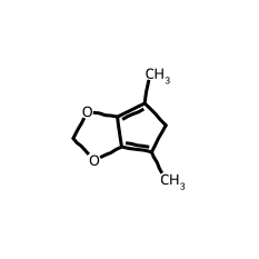 CC1=C2OCOC2=C(C)C1